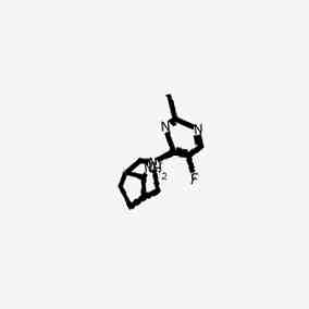 Cc1ncc(F)c(N2CC3CCC(C2)C3N)n1